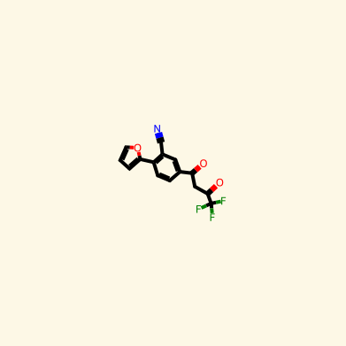 N#Cc1cc(C(=O)CC(=O)C(F)(F)F)ccc1-c1ccco1